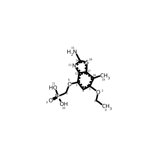 CCOc1cc(OCP(=O)(O)O)c2nc(N)sc2c1C